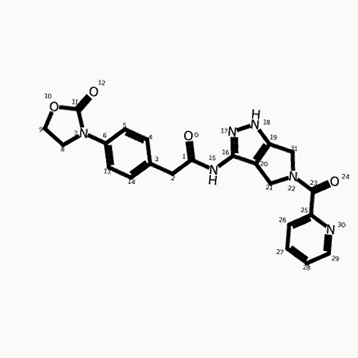 O=C(Cc1ccc(N2CCOC2=O)cc1)Nc1n[nH]c2c1CN(C(=O)c1ccccn1)C2